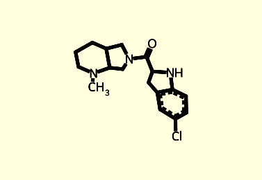 CN1CCCC2CN(C(=O)C3Cc4cc(Cl)ccc4N3)CC21